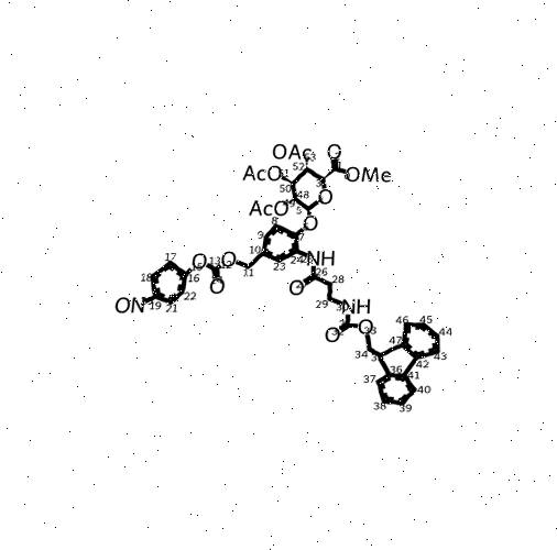 COC(=O)[C@H]1O[C@@H](Oc2ccc(COC(=O)Oc3ccc(N=O)cc3)cc2NC(=O)CCNC(=O)OCC2c3ccccc3-c3ccccc32)[C@H](OC(C)=O)[C@@H](OC(C)=O)[C@@H]1OC(C)=O